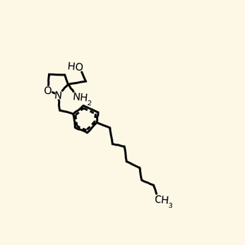 CCCCCCCCc1ccc(CN2OCCC2(N)CO)cc1